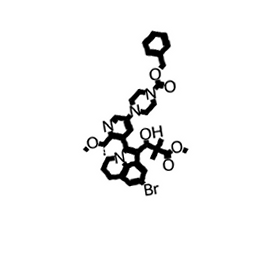 COC(=O)C(C)(C)C(O)c1c(-c2cc(N3CCN(C(=O)OCc4ccccc4)CC3)cnc2[C@H](C)OC)n2c3c(cc(Br)cc13)CCC2